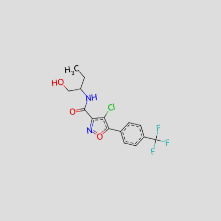 CCC(CO)NC(=O)c1noc(-c2ccc(C(F)(F)F)cc2)c1Cl